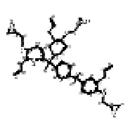 C=CCC1=C(OCC2CO2)C=CC(C(C)(c2ccc(C(C)(C)c3ccc(OCC4CO4)c(CC=C)c3)cc2)c2ccc(OCC3CO3)c(CC=C)c2)C1